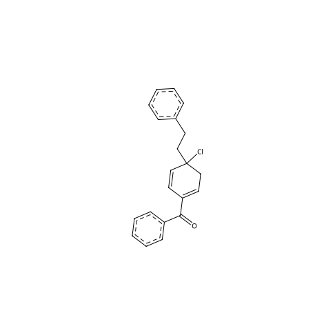 O=C(C1=CCC(Cl)(CCc2ccccc2)C=C1)c1ccccc1